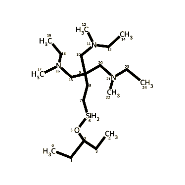 CCC(CC)O[SiH2]CCC(CN(C)CC)(CN(C)CC)CN(C)CC